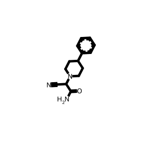 N#CC(C(N)=O)N1CCC(c2ccccc2)CC1